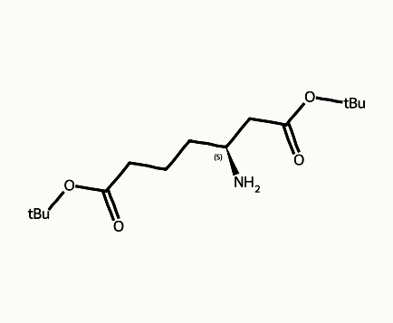 CC(C)(C)OC(=O)CCC[C@H](N)CC(=O)OC(C)(C)C